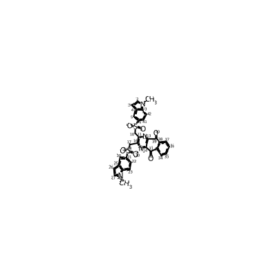 Cn1ccc2cc(S(=O)(=O)Cc3nc4c(nc3CS(=O)(=O)c3ccc5c(ccn5C)c3)C(=O)c3ccccc3C4=O)ccc21